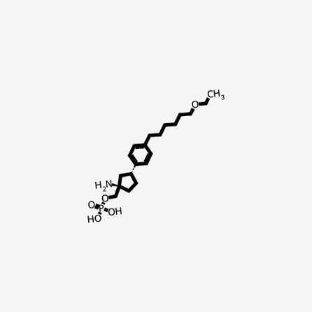 CCOCCCCCCc1ccc([C@@H]2CC[C@](N)(COP(=O)(O)O)C2)cc1